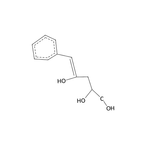 OCC(O)CC(O)=Cc1ccccc1